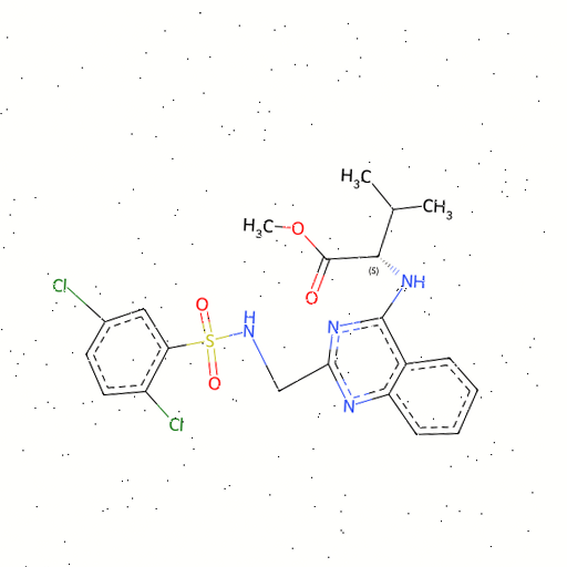 COC(=O)[C@@H](Nc1nc(CNS(=O)(=O)c2cc(Cl)ccc2Cl)nc2ccccc12)C(C)C